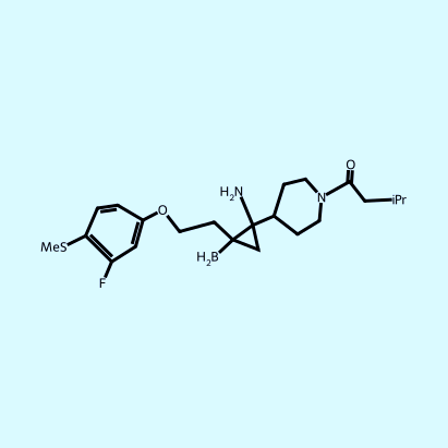 BC1(CCOc2ccc(SC)c(F)c2)CC1(N)C1CCN(C(=O)CC(C)C)CC1